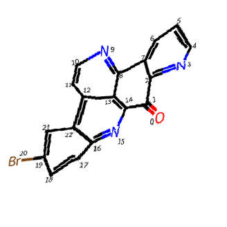 O=C1c2ncccc2-c2nccc3c2c1nc1ccc(Br)cc13